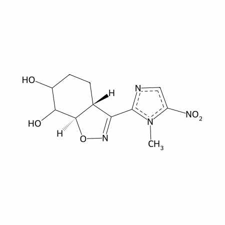 Cn1c([N+](=O)[O-])cnc1C1=NO[C@H]2C(O)C(O)CC[C@H]12